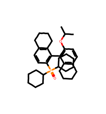 CC(C)Oc1ccc2c(c1-c1c(P(=O)(C3CCCCC3)C3CCCCC3)ccc3c1CCCC3)CCCC2